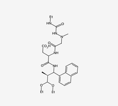 CCNC(=O)NN(C)CC(=O)NC(CC(=O)O)C(=O)NC(c1cccc2ccccc12)[C@H](C)C(OCC)OCC